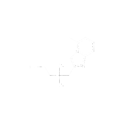 Cc1cccc2nc(CC(C#N)(C#N)CCC(F)(F)F)cn12